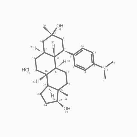 CN(C)c1ccc([C@@H]2C[C@@](C)(O)C[C@@H]3CC[C@@H]4[C@H](CC[C@]5(C)[C@@H](O)CC[C@@H]45)[C@H]32)cc1.Cl